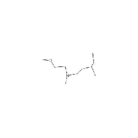 CCC(C)CCN(C)CCOC